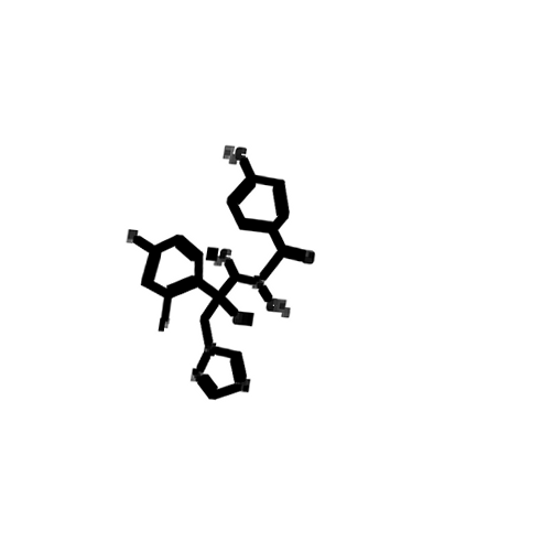 CC(N(C)C(=O)c1ccc(C(F)(F)F)cc1)C(O)(Cn1cncn1)c1ccc(F)cc1F